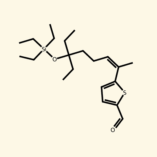 CCC(CC)(CC/C=C(/C)c1ccc(C=O)s1)O[Si](CC)(CC)CC